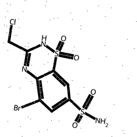 NS(=O)(=O)c1cc(Br)c2c(c1)S(=O)(=O)NC(CCl)=N2